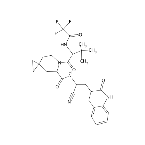 CC(C)(C)C(NC(=O)C(F)(F)F)C(=O)N1CCC2(CC2)CC1C(=O)NC(C#N)CC1Cc2ccccc2NC1=O